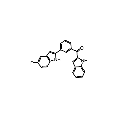 O=C(c1cccc(-c2cc3cc(F)ccc3[nH]2)c1)c1cc2ccccc2[nH]1